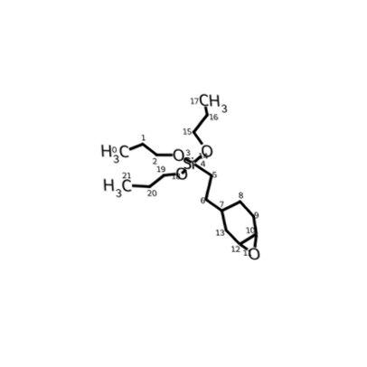 CCCO[Si](CCC1CCC2OC2C1)(OCCC)OCCC